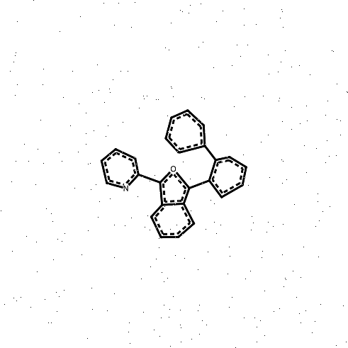 c1ccc(-c2ccccc2-c2oc(-c3ccccn3)c3ccccc23)cc1